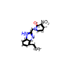 CC(C)Cc1cccc2[nH]c(Cn3cccc([N+](=O)[O-])c3=O)nc12